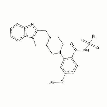 CCS(=O)(=O)NC(=O)c1ccc(OC(C)C)cc1N1CCN(Cc2nc3ccccc3n2C)CC1